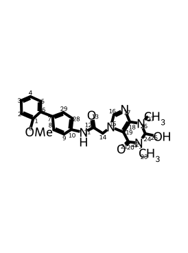 COc1ccccc1-c1ccc(NC(=O)Cn2cnc3c2C(=O)N(C)C(O)N3C)cc1